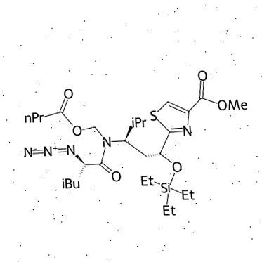 CCCC(=O)OCN(C(=O)[C@H](N=[N+]=[N-])[C@@H](C)CC)[C@H](C[C@@H](O[Si](CC)(CC)CC)c1nc(C(=O)OC)cs1)C(C)C